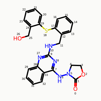 O=C1OCCN1Nc1nc(NCc2ccccc2Sc2ccccc2CO)nc2ccccc12